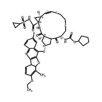 CCOC1=C(C)C2Oc3c(nc4ccc(F)cc4c3O[C@@H]3C[C@H]4C(=O)N[C@]5(C(=O)NS(=O)(=O)C6CC6)C[C@H]5/C=C\CCCCC[C@H](NC(=O)OC5CCCC5)C(=O)N4C3)C2C=C1